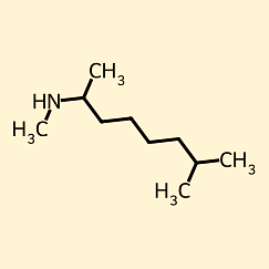 CNC(C)CCCCC(C)C